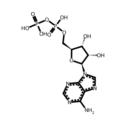 Nc1ncnc2c1ncn2[C@H]1O[C@@H](COP(=O)(O)OP(=O)(O)O)[C@H](O)[C@@H]1O